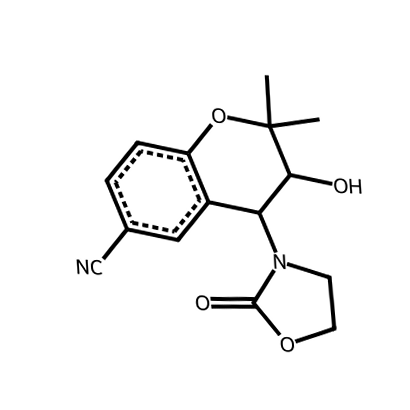 CC1(C)Oc2ccc(C#N)cc2C(N2CCOC2=O)C1O